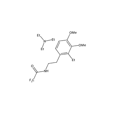 CCN(CC)CC.CCc1c(CCNC(=O)C(F)(F)F)ccc(OC)c1OC